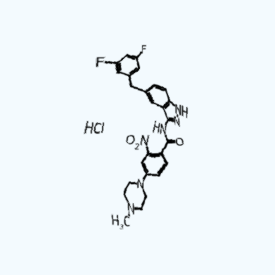 CN1CCN(c2ccc(C(=O)Nc3n[nH]c4ccc(Cc5cc(F)cc(F)c5)cc34)c([N+](=O)[O-])c2)CC1.Cl